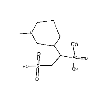 CN1CCCC(C(CS(=O)(=O)O)P(=O)(O)O)C1